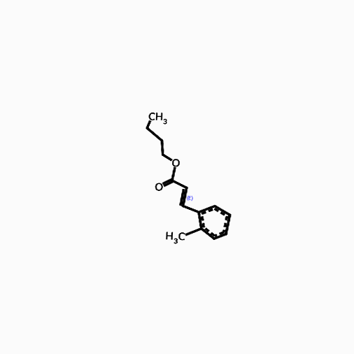 CCCCOC(=O)/C=C/c1ccccc1C